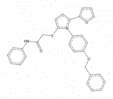 O=C(CSc1ccc(-c2ccco2)n1-c1ccc(OCc2ccccc2)cc1)Nc1ccccc1